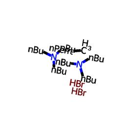 Br.Br.CCCCCC.CCCCN(CCCC)CCCC.CCCCN(CCCC)CCCC